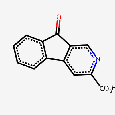 O=C(O)c1cc2c(cn1)C(=O)c1ccccc1-2